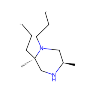 [CH2]CCN1C[C@@H](C)NC[C@@]1(C)CC[CH2]